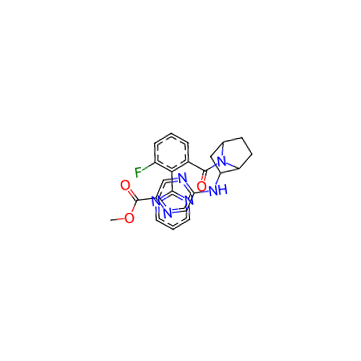 COC(=O)c1cnc(NC2CC3CCC2N3C(=O)c2cccc(F)c2-c2ncccn2)cn1